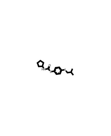 CC(C)CSc1ccc(SC(=O)NC2CCCC2)cc1